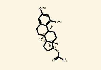 COc1cc2c(c(OC(C)=O)c1)[C@H]1CC[C@]3(C)[C@@H](OC(=O)C(F)(F)F)CC[C@H]3[C@@H]1CC2